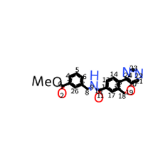 COC(=O)c1cccc(CNC(=O)c2ccc3c(c2)COc2cncnc2-3)c1